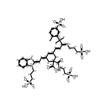 Cc1ccc(S(=O)(=O)O)cc1C(C)(C)C(/C=C/C1=CC(=C/C=C2\Sc3ccccc3N2CCCS(=O)(=O)O)/CC(C(=O)O)(C(=O)NCCS(=O)(=O)O)C1)=N/CCCS(=O)(=O)O